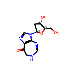 O=C1CNC=Nc2c1ncn2[C@H]1C[C@H](O)[C@@H](CO)O1